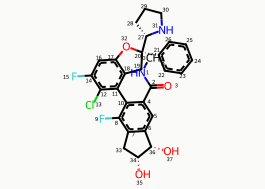 CNC(=O)c1cc2c(c(F)c1-c1c(Cl)c(F)cc3c1C[C@](c1ccccc1)([C@@H]1CCCN1)O3)C[C@@H](O)[C@H]2O